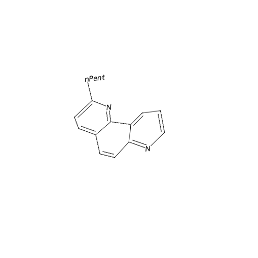 CCCCCc1ccc2ccc3ncccc3c2n1